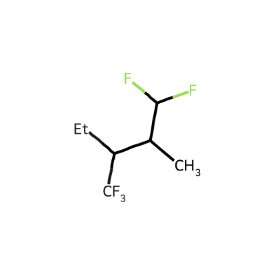 CCC(C(C)C(F)F)C(F)(F)F